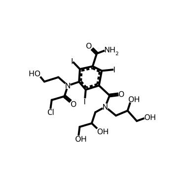 NC(=O)c1c(I)c(C(=O)N(CC(O)CO)CC(O)CO)c(I)c(N(CCO)C(=O)CCl)c1I